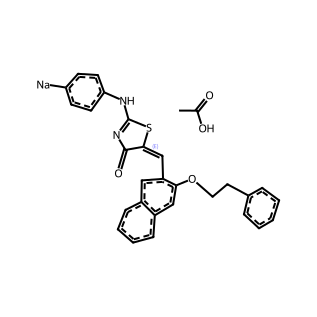 CC(=O)O.O=C1N=C(Nc2cc[c]([Na])cc2)S/C1=C/c1cc2ccccc2cc1OCCc1ccccc1